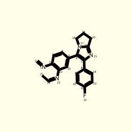 C=Nc1ccc(-c2c(-c3ccc(F)cc3)nc3n2CCC3)cc1/N=C\C